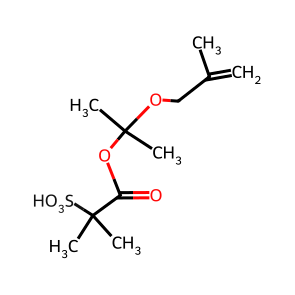 C=C(C)COC(C)(C)OC(=O)C(C)(C)S(=O)(=O)O